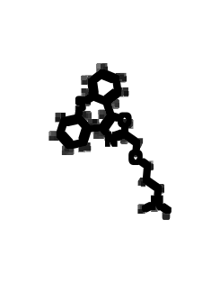 CN(C)CCCOCc1nc2c(o1)-c1ccccc1Sc1ccccc1-2